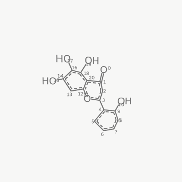 O=c1cc(-c2ccccc2O)oc2cc(O)c(O)c(O)c12